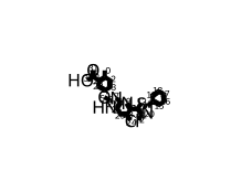 Cc1ccc(Oc2nc3nc(-c4sc(-c5ccccc5)nc4C)c(Cl)cc3[nH]2)cc1C(=O)O